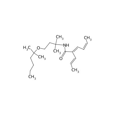 C\C=C/C=C(\C=C\C)C(=O)NC(C)(C)CCOC(C)(C)CCCC